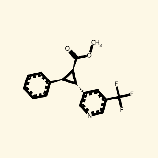 COC(=O)[C@@H]1[C@H](c2ccccc2)[C@H]1c1cncc(C(F)(F)F)c1